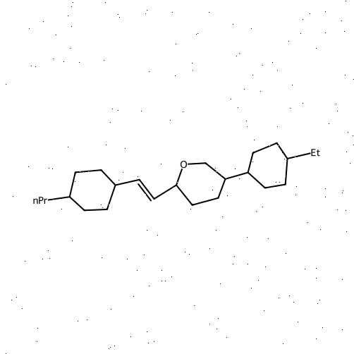 CCCC1CCC(/C=C/C2CCC(C3CCC(CC)CC3)CO2)CC1